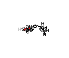 Cc1ccc([C@]23OC[C@](C(C)(C)O)(O2)[C@@H](O)[C@H](O)[C@H]3O)cc1Cc1ccc(CCCC(=O)N[C@H](C(=O)NCCN(C)C)C2CC2)cc1